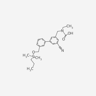 CCC[Si](C)(C)OCc1cccc(-c2cc(C#N)cc(CN(CC)C(=O)O)c2)c1